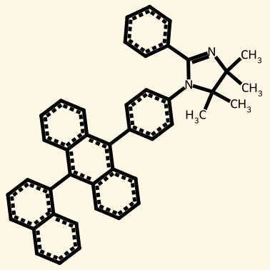 CC1(C)N=C(c2ccccc2)N(c2ccc(-c3c4ccccc4c(-c4cccc5ccccc45)c4ccccc34)cc2)C1(C)C